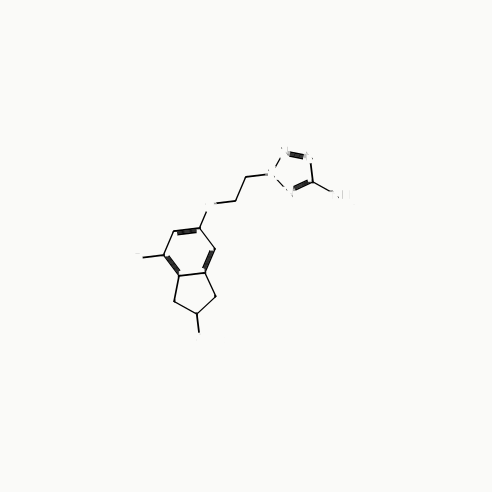 Nc1nnn(CCOc2cc(F)c3c(c2)CC(C=O)C3)n1